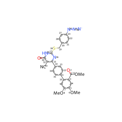 COC(=O)c1cc(OC)c(OC)cc1-c1ccc(-c2nc(SCc3ccc(N=[N+]=[N-])cc3)[nH]c(=O)c2C#N)cc1